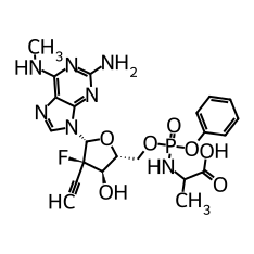 C#C[C@@]1(F)[C@H](O)[C@@H](COP(=O)(NC(C)C(=O)O)Oc2ccccc2)O[C@H]1n1cnc2c(NC)nc(N)nc21